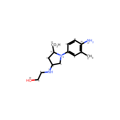 Cc1cc(N2CC(NCCO)CC2C(=O)O)ccc1N